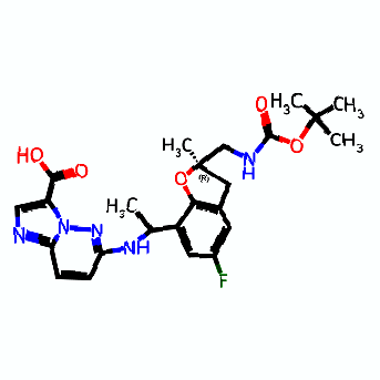 CC(Nc1ccc2ncc(C(=O)O)n2n1)c1cc(F)cc2c1O[C@@](C)(CNC(=O)OC(C)(C)C)C2